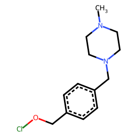 CN1CCN(Cc2ccc(COCl)cc2)CC1